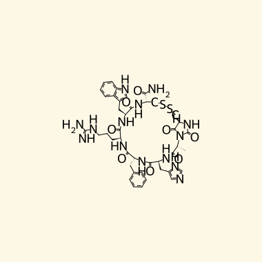 C[C@@H]1C(=O)N[C@@H](Cc2cnc[nH]2)C(=O)N[C@H](Cc2ccccc2)C(=O)N[C@@H](CCCNC(=N)N)C(=O)N[C@@H](Cc2c[nH]c3ccccc23)C(=O)N[C@H](C(N)=O)CSSC[C@@H]2NC(=O)N1C2=O